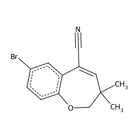 CC1(C)C=C(C#N)c2cc(Br)ccc2OC1